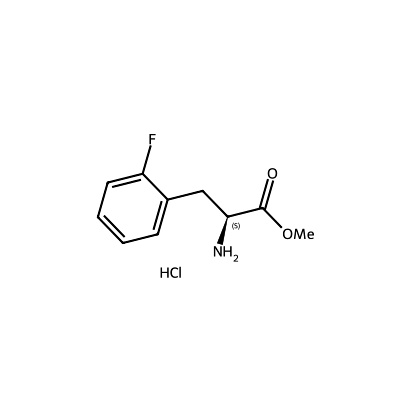 COC(=O)[C@@H](N)Cc1ccccc1F.Cl